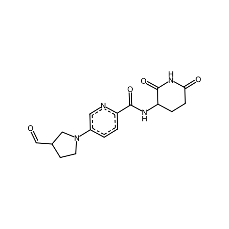 O=CC1CCN(c2ccc(C(=O)NC3CCC(=O)NC3=O)nc2)C1